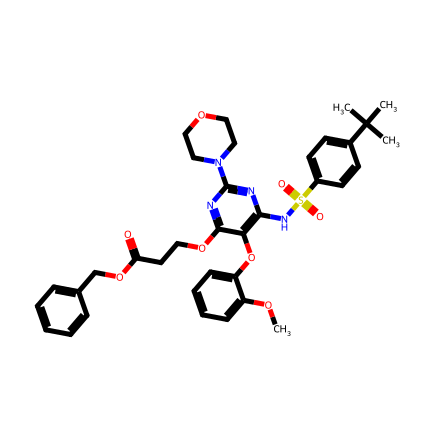 COc1ccccc1Oc1c(NS(=O)(=O)c2ccc(C(C)(C)C)cc2)nc(N2CCOCC2)nc1OCCC(=O)OCc1ccccc1